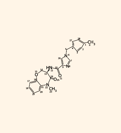 Cc1ccc(Cn2cnc(C(=O)N[C@@H]3COc4ccccc4N(C)C3=O)c2)cc1